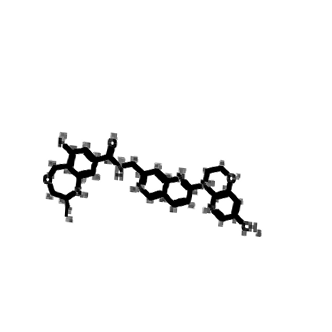 Cc1cnc2c(c1)OCCN2c1ccc2cnc(CNC(=O)c3cc(F)c4c(c3)S[C@@H](F)COC4)cc2n1